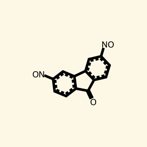 O=Nc1ccc2c(c1)-c1cc(N=O)ccc1C2=O